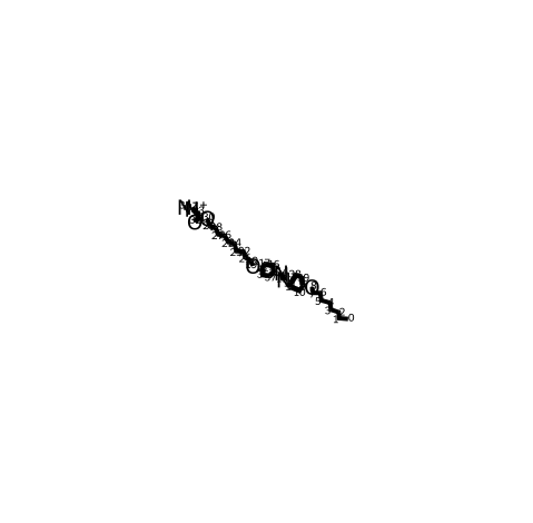 CCCCCCCCOc1ccc(/N=N/c2ccc(OCCCCCCCCCCOC(=O)C=[N+]=[N-])cc2)cc1